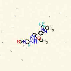 COc1nc(N[C@@H]2CCN(C3COC3)C[C@H]2F)nn2ccc(-c3ccc4nc(C)n(CC(F)(F)F)c4c3)c12